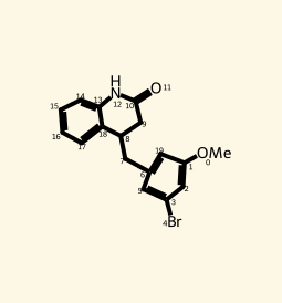 COc1cc(Br)cc(CC2CC(=O)Nc3ccccc32)c1